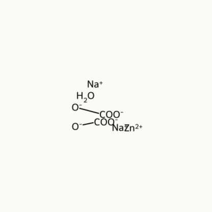 O.O=C([O-])[O-].O=C([O-])[O-].[Na+].[Na+].[Zn+2]